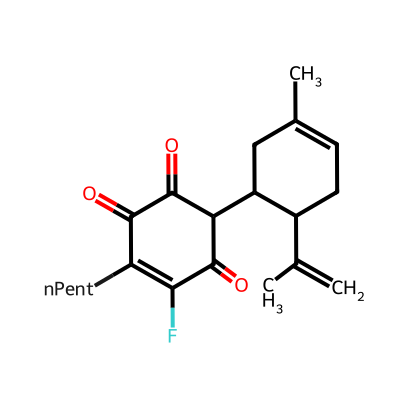 C=C(C)C1CC=C(C)CC1C1C(=O)C(=O)C(CCCCC)=C(F)C1=O